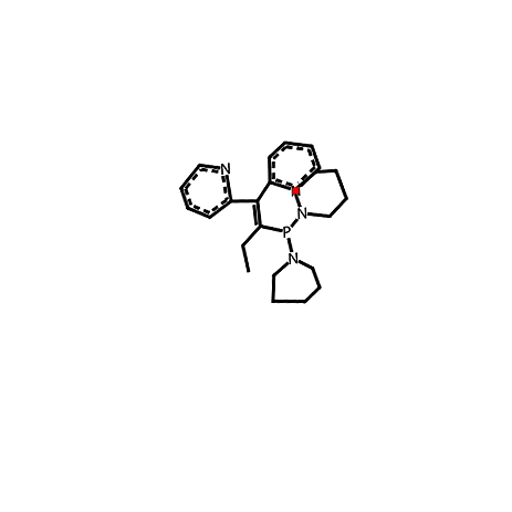 CCC(=C(c1ccccn1)c1ccccn1)P(N1CCCCC1)N1CCCCC1